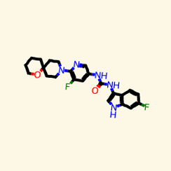 O=C(Nc1cnc(N2CCC3(CCCCO3)CC2)c(F)c1)Nc1c[nH]c2cc(F)ccc12